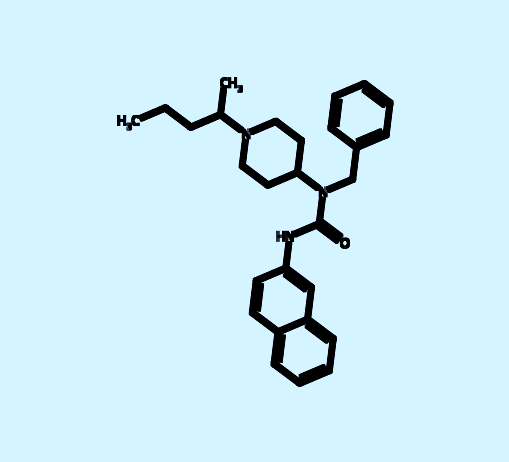 CCCC(C)N1CCC(N(Cc2ccccc2)C(=O)Nc2ccc3ccccc3c2)CC1